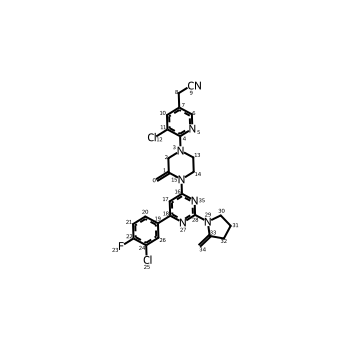 C=C1CN(c2ncc(CC#N)cc2Cl)CCN1c1cc(-c2ccc(F)c(Cl)c2)nc(N2CCCC2=C)n1